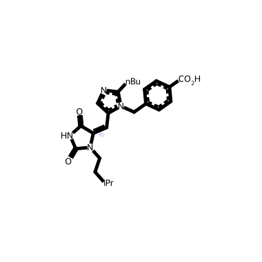 CCCCc1ncc(/C=C2\C(=O)NC(=O)N2CCC(C)C)n1Cc1ccc(C(=O)O)cc1